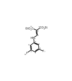 CCOC(=O)C(=CNc1cc(F)cc(F)c1)C(=O)OCC